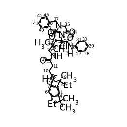 CCC(C)(C)c1ccc(OCCCC(=O)NCC(C)(C)C(=O)C(Cl)(C(=O)Nc2ccccc2)N2C(=O)CN(Cc3ccccc3)C2=O)c(C(C)(C)CC)c1